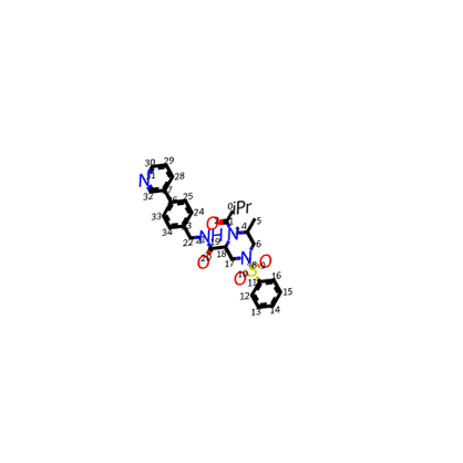 CC(C)C(=O)N1C(C)CN(S(=O)(=O)c2ccccc2)CC1C(=O)NCc1ccc(-c2cccnc2)cc1